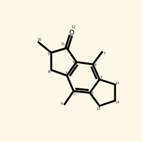 Cc1c2c(c(C)c3c1CC(C)C3=O)CCC2